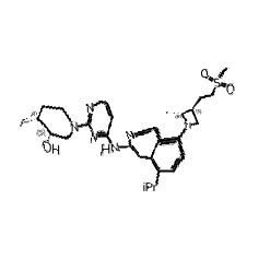 CC(C)c1ccc(N2C[C@H](CCS(C)(=O)=O)[C@H]2C)c2cnc(Nc3ccnc(N4CC[C@@H](F)[C@@H](O)C4)n3)cc12